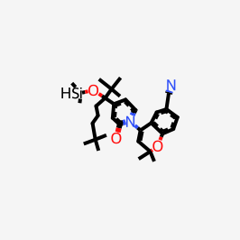 C[SiH](C)OC(CCCC(C)(C)C)(c1ccn(C2=CC(C)(C)Oc3ccc(C#N)cc32)c(=O)c1)C(C)(C)C